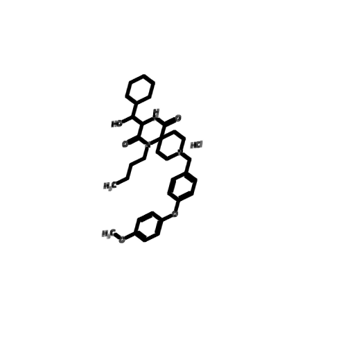 CCCCN1C(=O)C(C(O)C2CCCCC2)NC(=O)C12CCN(Cc1ccc(Oc3ccc(OC)cc3)cc1)CC2.Cl